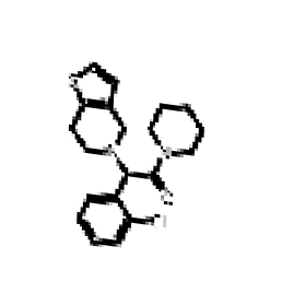 O=C(C(c1ccccc1Cl)N1CCc2sccc2C1)N1CCCCC1